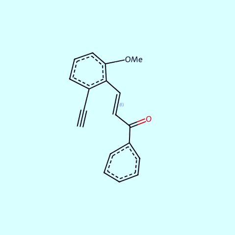 C#Cc1cccc(OC)c1/C=C/C(=O)c1ccccc1